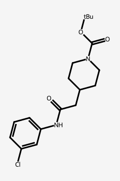 CC(C)(C)OC(=O)N1CCC(CC(=O)Nc2cccc(Cl)c2)CC1